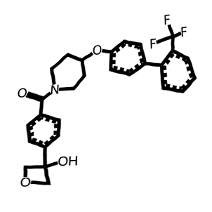 O=C(c1ccc(C2(O)COC2)cc1)N1CCC(Oc2ccc(-c3ccccc3C(F)(F)F)cc2)CC1